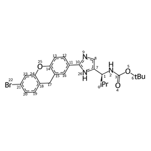 CC(C)[C@H](NC(=O)OC(C)(C)C)c1cnc(-c2ccc3c(c2)Cc2ccc(Br)cc2O3)[nH]1